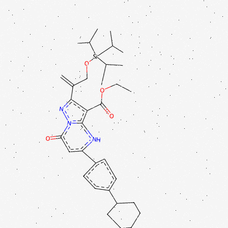 C=C(CO[Si](C(C)C)(C(C)C)C(C)C)c1nn2c(=O)cc(-c3ccc(C4CCCCC4)cc3)[nH]c2c1C(=O)OCC